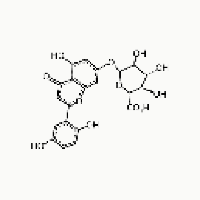 O=C(O)[C@@H]1OC(Oc2cc(O)c3c(=O)cc(-c4cc(O)ccc4O)oc3c2)[C@@H](O)[C@H](O)[C@H]1O